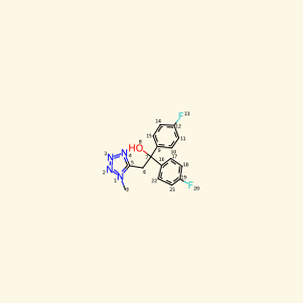 Cn1nnnc1CC(O)(c1ccc(F)cc1)c1ccc(F)cc1